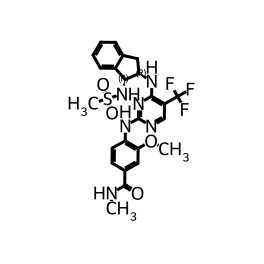 CNC(=O)c1ccc(Nc2ncc(C(F)(F)F)c(N[C@@H]3Cc4ccccc4[C@H]3NS(C)(=O)=O)n2)c(OC)c1